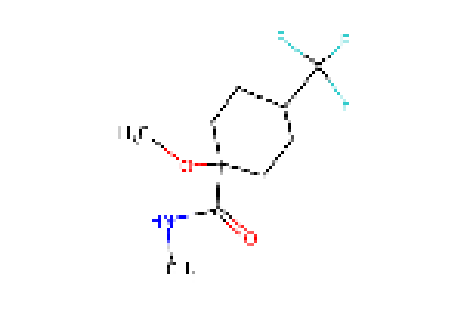 CNC(=O)C1(OC)CCC(C(F)(F)F)CC1